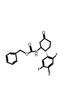 O=C1CC[C@H](c2cc(F)c(F)cc2F)C(NC(=O)OCc2ccccc2)C1